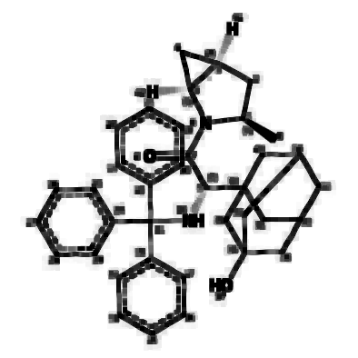 C[C@@H]1C[C@@H]2C[C@@H]2N1C(=O)[C@@H](NC(c1ccccc1)(c1ccccc1)c1ccccc1)C12CC3CC(CC(O)(C3)C1)C2